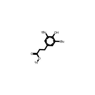 [2H]OC(=O)CCc1cc(C(C)(C)C)c(O)c(C(C)(C)C)c1